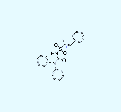 C/C(=C\c1ccccc1)S(=O)(=O)NC(=O)N(c1ccccc1)c1ccccc1